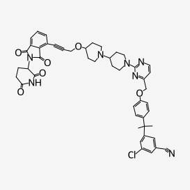 CC(C)(c1ccc(OCc2ccnc(N3CCC(N4CCC(OCC#Cc5cccc6c5C(=O)N(C5CCC(=O)NC5=O)C6=O)CC4)CC3)n2)cc1)c1cc(Cl)cc(C#N)c1